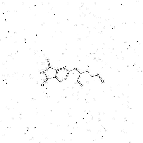 C=CC(CCP=O)Oc1ccc2c(c1)C(=O)NC2=O